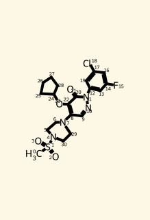 CS(=O)(=O)N1CCN(c2cnn(-c3cc(F)cc(Cl)c3)c(=O)c2OC2CCCC2)CC1